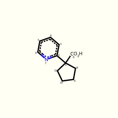 O=C(O)C1(c2ccccn2)CCCC1